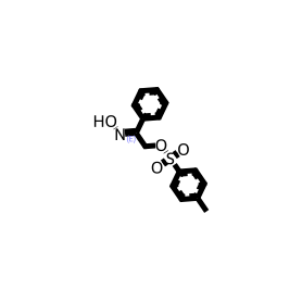 Cc1ccc(S(=O)(=O)OC/C(=N/O)c2ccccc2)cc1